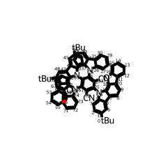 CC(C)(C)c1ccc2c(c1)c1ccc3c4ccccc4oc3c1n2-c1c(C#N)c(-n2c3ccccc3c3ccccc32)c(-n2c3ccc(C(C)(C)C)cc3c3cc(C(C)(C)C)c4c5ccccc5oc4c32)c(-n2c3ccccc3c3ccccc32)c1C#N